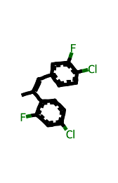 C/C(=C/c1ccc(Cl)c(F)c1)c1ccc(Cl)cc1F